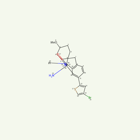 COC1CCC2(CC1)Cc1ccc(-c3cc(Br)cs3)cc1C21N=C(N)N(C(C)C)C1=O